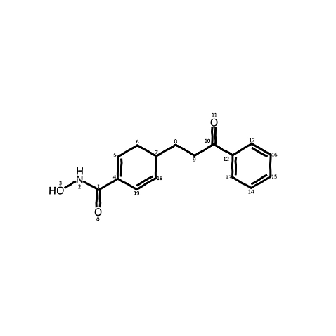 O=C(NO)C1=CCC(CCC(=O)c2ccccc2)C=C1